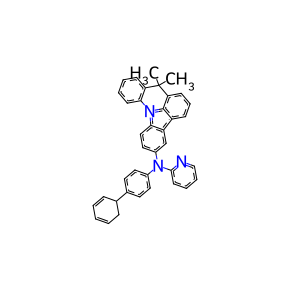 CC1(C)c2ccccc2-n2c3ccc(N(c4ccc(C5C=CC=CC5)cc4)c4ccccn4)cc3c3cccc1c32